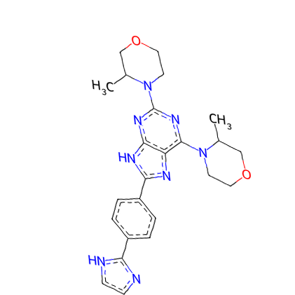 CC1COCCN1c1nc(N2CCOCC2C)c2nc(-c3ccc(-c4ncc[nH]4)cc3)[nH]c2n1